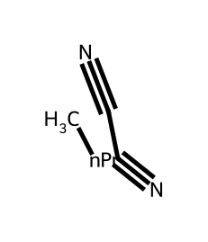 CCCC.N#CC#N